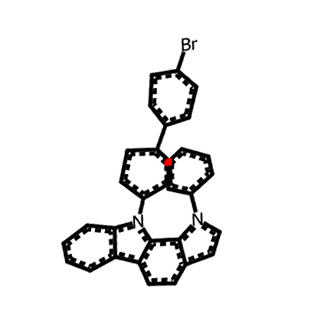 Brc1ccc(-c2ccc(-n3c4ccccc4c4ccc5ccn(-c6ccccc6)c5c43)cc2)cc1